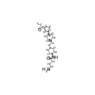 CCC(=O)c1cccc(N2CCN(CC[C@H]3CC[C@H](NC(=O)CCCN)CC3)CC2)c1